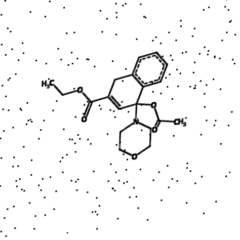 CCOC(=O)C1=CC(OC(C)=O)(N2CCOCC2)c2ccccc2C1